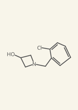 OC1CN(Cc2ccccc2Cl)C1